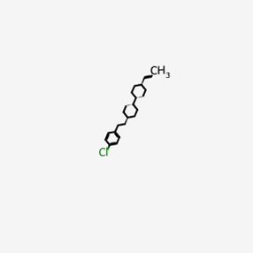 CC=C[C@H]1CC[C@H]([C@H]2CC[C@H](CCc3ccc(Cl)cc3)CC2)CC1